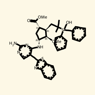 COC(=O)[C@H]1C[C@@H](Nc2nc(N)ncc2-c2nc3ccccc3s2)[C@H](OC)[C@@H]1CC(C)(C)[Si](O)(c1ccccc1)c1ccccc1